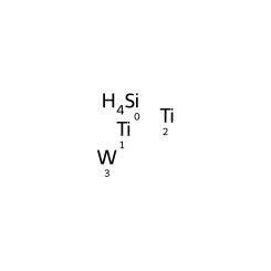 [SiH4].[Ti].[Ti].[W]